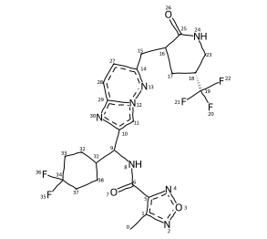 Cc1nonc1C(=O)NC(c1cn2nc(CC3C[C@@H](C(F)(F)F)CNC3=O)ccc2n1)C1CCC(F)(F)CC1